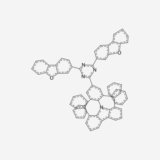 c1ccc(-c2cc(-c3nc(-c4ccc5c(c4)oc4ccccc45)nc(-c4ccc5c(c4)oc4ccccc45)n3)cc(-c3ccccc3)c2-n2c3c(-c4ccccc4)cccc3c3cccc(-c4ccccc4)c32)cc1